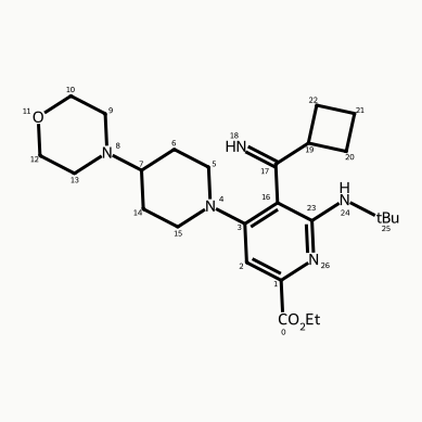 CCOC(=O)c1cc(N2CCC(N3CCOCC3)CC2)c(C(=N)C2CCC2)c(NC(C)(C)C)n1